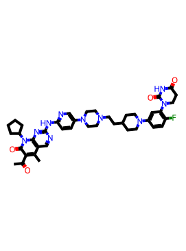 CC(=O)c1c(C)c2cnc(Nc3ccc(N4CCN(CCC5CCN(c6ccc(F)c(N7CCC(=O)NC7=O)c6)CC5)CC4)cn3)nc2n(C2CCCC2)c1=O